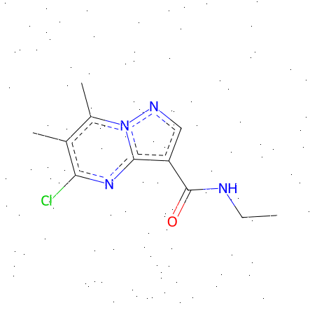 CCNC(=O)c1cnn2c(C)c(C)c(Cl)nc12